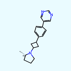 C[C@H]1CCCN1C1CC(c2ccc(-c3cncnc3)cc2)C1